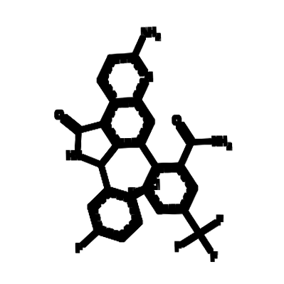 NC(=O)c1cc(C(F)(F)F)cc(F)c1-c1cc2nc(N)ccc2c2c1C(c1cc(F)ccc1Cl)NC2=O